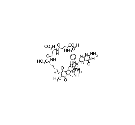 CO[C@]12[C@H](C)NCN1C1=C(C(=O)C(NCCCCC(NC(=O)CCC(NC(=O)CCC(NC(=O)c3ccc(NCc4cnc5nc(N)[nH]c(=O)c5n4)cc3)C(=O)O)C(=O)O)C(=O)O)=C(C)C1=O)[C@H]2COC(N)=O